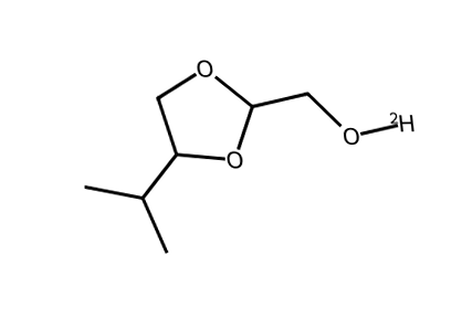 [2H]OCC1OCC(C(C)C)O1